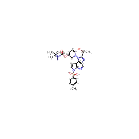 Cc1ccc(S(=O)(=O)n2ccc3c2ncc2nc([C@@H](C)O)n(N4C=CC=C(OC(=O)NC(C)(C)C)C4)c23)cc1